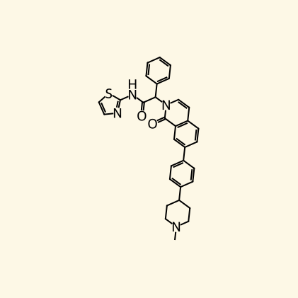 CN1CCC(c2ccc(-c3ccc4ccn(C(C(=O)Nc5nccs5)c5ccccc5)c(=O)c4c3)cc2)CC1